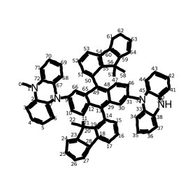 CN1c2ccccc2N(c2ccc3c(-c4cccc5c4C(C)(C)c4ccccc4-5)c4cc(N5c6ccccc6Nc6ccccc65)ccc4c(-c4cccc5c4C(C)(C)C4=C5CCC=C4)c3c2)c2ccccc21